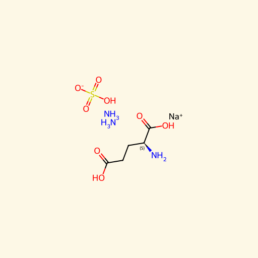 N.N.N[C@@H](CCC(=O)O)C(=O)O.O=S(=O)([O-])O.[Na+]